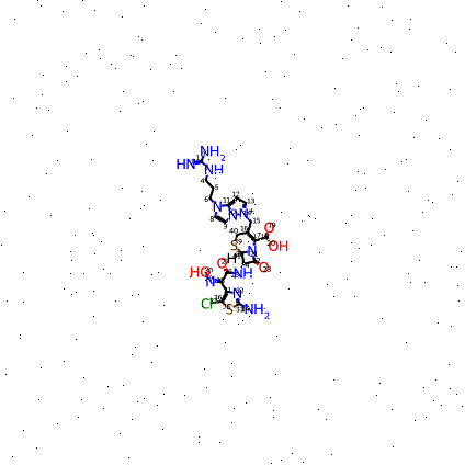 N=C(N)NCCCn1ccn2c1cc[n+]2CC1=C(C(=O)O)N2C(=O)[C@@H](NC(=O)/C(=N\O)c3nc(N)sc3Cl)[C@H]2SC1